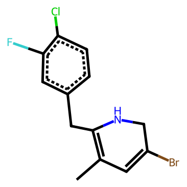 CC1=C(Cc2ccc(Cl)c(F)c2)NCC(Br)=C1